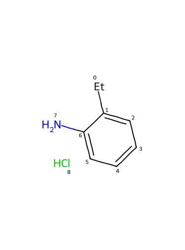 CCc1ccccc1N.Cl